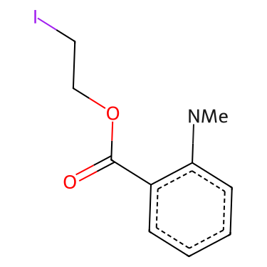 CNc1ccccc1C(=O)OCCI